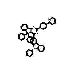 c1ccc(-n2c3ccccc3c3cc(-c4nc(-c5ccc(-c6ccccn6)cc5)nc5c4C(c4ccccc4)(c4ccccc4)c4ccccc4-5)ccc32)cc1